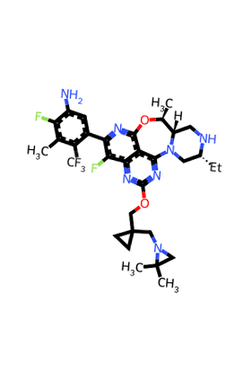 CC[C@@H]1CN2c3nc(OCC4(CN5CC5(C)C)CC4)nc4c(F)c(-c5cc(N)c(F)c(C)c5C(F)(F)F)nc(c34)O[C@@H](C)[C@@H]2CN1